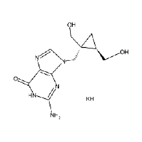 Nc1nc2c(ncn2C[C@]2(CO)C[C@H]2CO)c(=O)[nH]1.[KH]